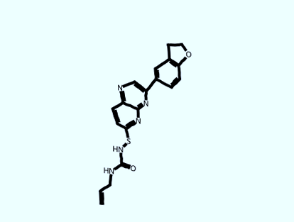 C=CCNC(=O)NSc1ccc2ncc(-c3ccc4c(c3)CCO4)nc2n1